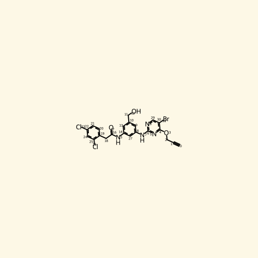 C#CCOc1nc(Nc2cc(CO)cc(NC(=O)Cc3ccc(Cl)cc3Cl)c2)ncc1Br